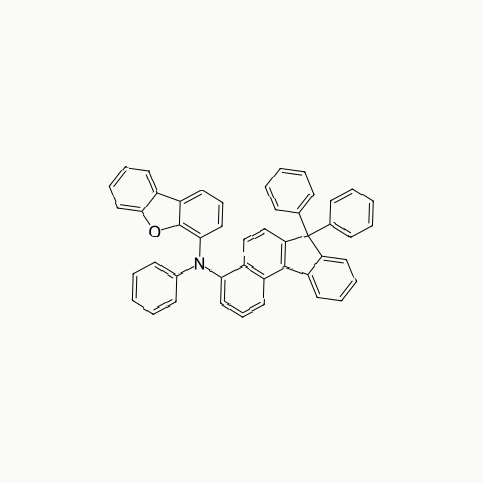 C1=C=C(N(c2ccccc2)c2cccc3c2oc2ccccc23)c2ccc3c(c2C=1)-c1ccccc1C3(c1ccccc1)c1ccccc1